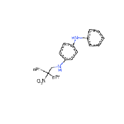 CCCC(CCC)(CNc1ccc(Nc2ccccc2)cc1)[N+](=O)[O-]